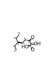 CCC(=CCC(=O)P(=O)(O)O)CC